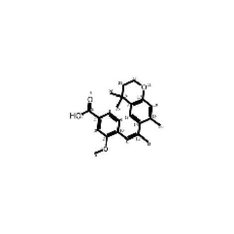 COc1cc(C(=O)O)ccc1/C=C(/C)c1cc2c(cc1C)OCCC2(C)C